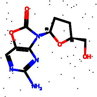 Nc1ncc2oc(=O)n([C@H]3CC[C@@H](CO)O3)c2n1